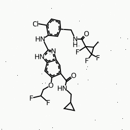 CC1C(F)(F)C1(F)C(=O)NCc1ccc(Cl)c(Nc2nc3cc(C(=O)NCC4CC4)c(OCC(F)F)cc3[nH]2)c1